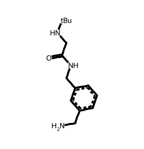 CC(C)(C)NCC(=O)NCc1cccc(CN)c1